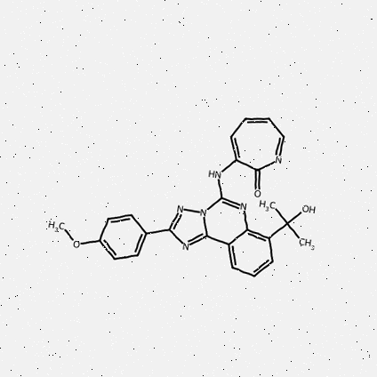 COc1ccc(-c2nc3c4cccc(C(C)(C)O)c4nc(Nc4ccccnc4=O)n3n2)cc1